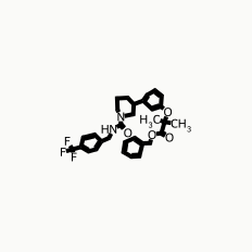 CC(C)(Oc1cccc(C2CCCN(C(=O)NCc3ccc(C(F)(F)F)cc3)C2)c1)C(=O)OCc1ccccc1